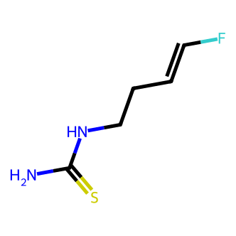 NC(=S)NCCC=CF